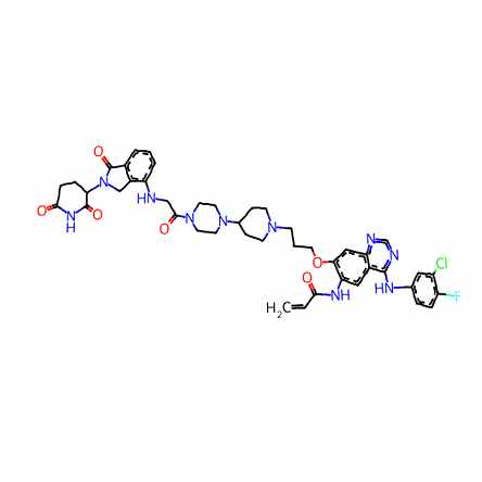 C=CC(=O)Nc1cc2c(Nc3ccc(F)c(Cl)c3)ncnc2cc1OCCCN1CCC(N2CCN(C(=O)CNc3cccc4c3CN(C3CCC(=O)NC3=O)C4=O)CC2)CC1